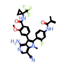 C=C(C)C(=O)Nc1ccc(-c2c(-c3ccc(C(=O)NC4(C(F)(F)F)CC4)c(OC)c3)c3c(N)ncc(C#N)c3n2C)c(F)c1